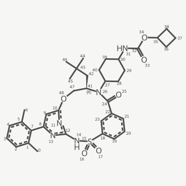 Cc1cccc(C)c1-c1cc2nc(n1)NS(=O)(=O)c1cccc(c1)C(=O)N(C1CCC(NC(=O)OC3CCC3)CC1)[C@H](CC(C)(C)C)CO2